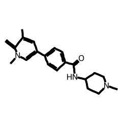 C=C1C(C)=CC(c2ccc(C(=O)NC3CCN(C)CC3)cc2)=CN1C